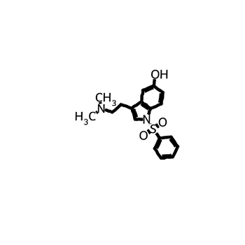 CN(C)CCc1cn(S(=O)(=O)c2ccccc2)c2ccc(O)cc12